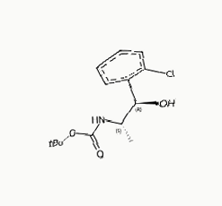 C[C@H](NC(=O)OC(C)(C)C)[C@H](O)c1ccccc1Cl